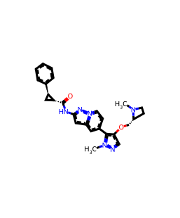 CN1CC[C@@H]1COc1cnn(C)c1-c1ccn2nc(NC(=O)[C@@H]3C[C@H]3c3ccccc3)cc2c1